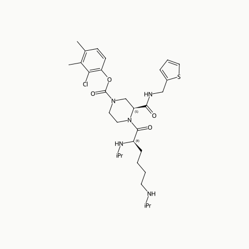 Cc1ccc(OC(=O)N2CCN(C(=O)[C@@H](CCCCNC(C)C)NC(C)C)[C@H](C(=O)NCc3cccs3)C2)c(Cl)c1C